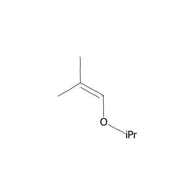 CC(C)=COC(C)C